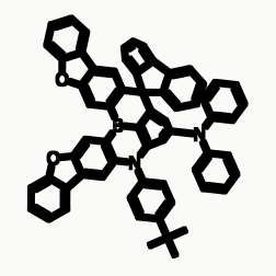 CC(C)(C)c1ccc(N2c3cc4c(cc3B3c5cc6oc7ccccc7c6cc5C5(c6ccccc6-c6ccccc65)c5cc(N(c6ccccc6)c6ccccc6)cc2c53)oc2ccccc24)cc1